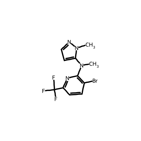 CN(c1nc(C(F)(F)F)ccc1Br)c1ccnn1C